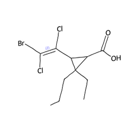 CCCC1(CC)C(C(=O)O)C1/C(Cl)=C(\Cl)Br